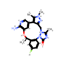 Cc1nc(=O)n2n1Cc1nn(C)c(C#N)c1-c1cnc(N)c(c1)O[C@H](C)c1cc(F)ccc1-2